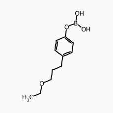 CCOCCCc1ccc(OB(O)O)cc1